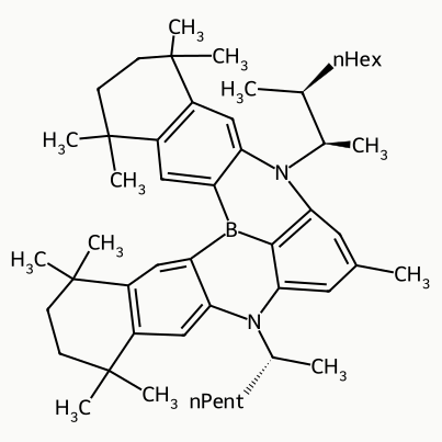 CCCCCC[C@H](C)[C@@H](C)N1c2cc3c(cc2B2c4cc5c(cc4N([C@H](C)CCCCC)c4cc(C)cc1c42)C(C)(C)CCC5(C)C)C(C)(C)CCC3(C)C